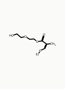 CCOC=C(C)C(=O)OCCOCCO